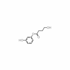 O=C(CCCO)Oc1cccc(O)c1